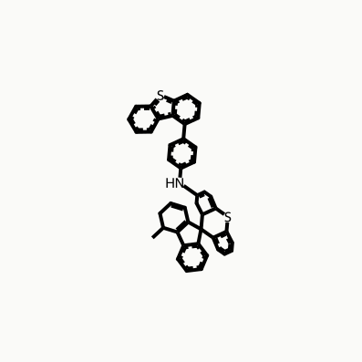 CC1CC=CC2=C1c1ccccc1C21c2ccccc2SC2=CC=C(Nc3ccc(-c4cccc5sc6ccccc6c45)cc3)CC21